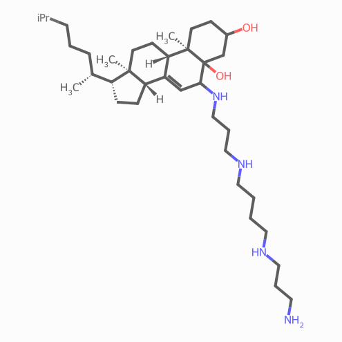 CC(C)CCC[C@@H](C)[C@H]1CC[C@H]2C3=CC(NCCCNCCCCNCCCN)C4(O)CC(O)CC[C@]4(C)[C@H]3CC[C@]12C